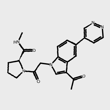 CNC(=O)[C@@H]1CCCN1C(=O)Cn1cc(C(C)=O)c2cc(-c3ccnnc3)ccc21